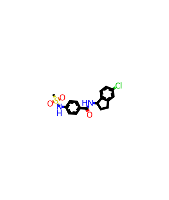 CS(=O)(=O)Nc1ccc(C(=O)NC2CCc3cc(Cl)ccc32)cc1